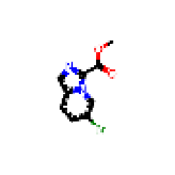 COC(=O)c1ncc2ccc(Br)cn12